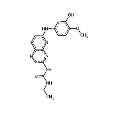 CCNC(=S)Nc1cnc2ccc(Nc3ccc(OC)c(O)c3)nc2n1